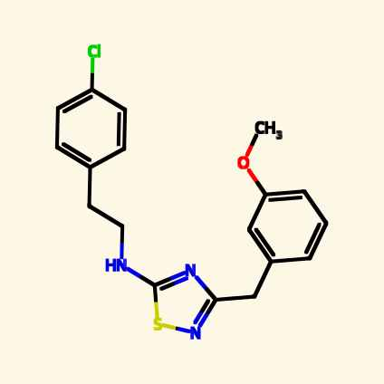 COc1cccc(Cc2nsc(NCCc3ccc(Cl)cc3)n2)c1